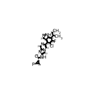 C=CC(C)c1c(F)c(Cl)c(-c2cn3cc(NC(=O)[C@@H]4C[C@@H]4F)nc3cn2)c2cn[nH]c12